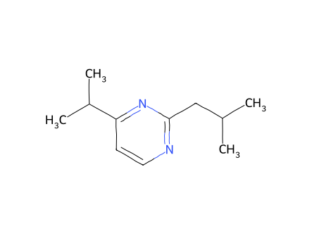 CC(C)Cc1nccc(C(C)C)n1